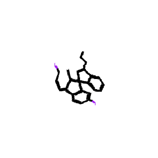 CCCC1CC2(c3ccccc31)c1cc(I)ccc1C(/C=C\CI)C2C